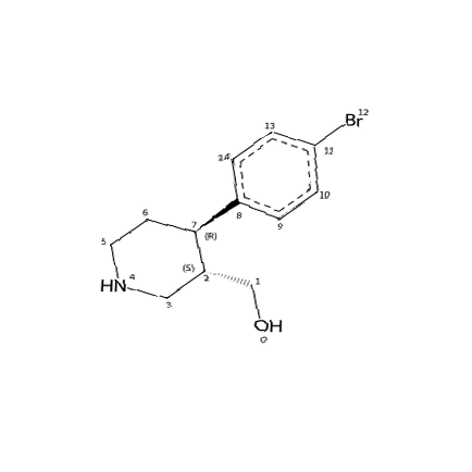 OC[C@@H]1CNCC[C@H]1c1ccc(Br)cc1